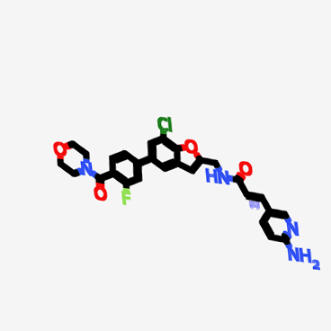 Nc1ccc(/C=C/C(=O)NCC2Cc3cc(-c4ccc(C(=O)N5CCOCC5)c(F)c4)cc(Cl)c3O2)cn1